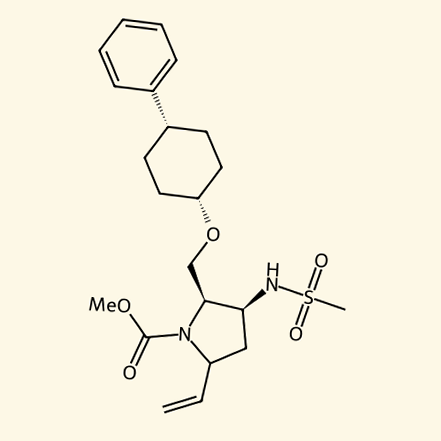 C=CC1C[C@H](NS(C)(=O)=O)[C@H](CO[C@H]2CC[C@@H](c3ccccc3)CC2)N1C(=O)OC